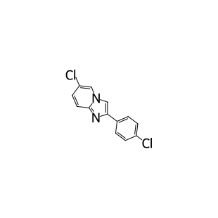 Clc1ccc(-c2cn3cc(Cl)ccc3n2)cc1